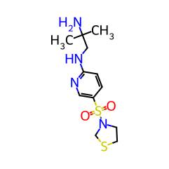 CC(C)(N)CNc1ccc(S(=O)(=O)N2CCSC2)cn1